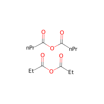 CCC(=O)OC(=O)CC.CCCC(=O)OC(=O)CCC